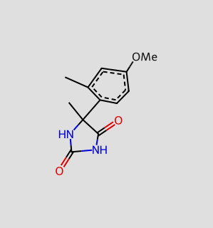 COc1ccc(C2(C)NC(=O)NC2=O)c(C)c1